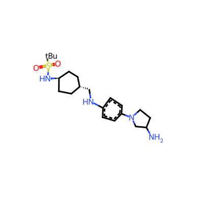 CC(C)(C)S(=O)(=O)N[C@H]1CC[C@H](CNc2ccc(N3CCC(N)C3)cc2)CC1